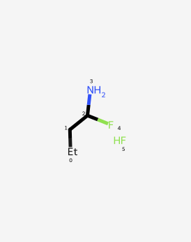 CCCC(N)F.F